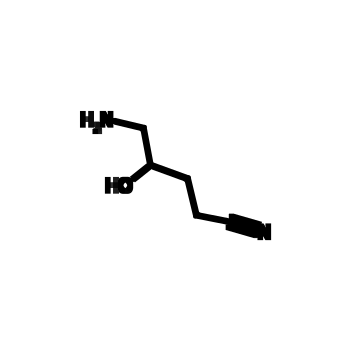 N#CCCC(O)CN